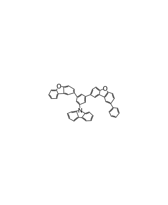 c1ccc(-c2ccc3oc4ccc(-c5cc(-c6ccc7oc8ccccc8c7c6)cc(-n6c7ccccc7c7ccccc76)c5)cc4c3c2)cc1